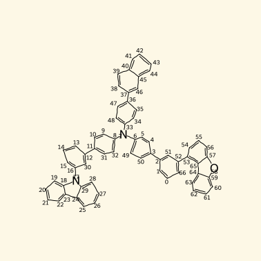 c1cc(-c2ccc(N(c3ccc(-c4cccc(-n5c6ccccc6c6ccccc65)c4)cc3)c3ccc(-c4ccc5ccccc5c4)cc3)cc2)cc(-c2cccc3oc4ccccc4c23)c1